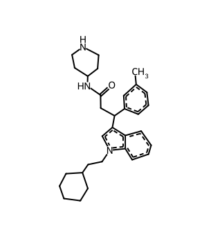 Cc1cccc(C(CC(=O)NC2CCNCC2)c2cn(CCC3CCCCC3)c3ccccc23)c1